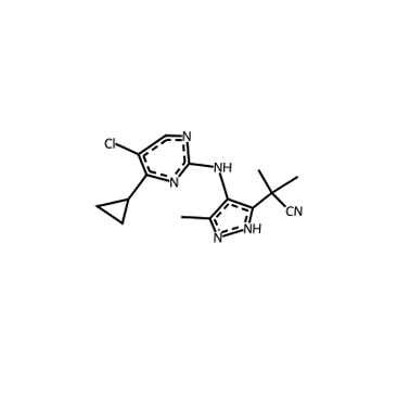 Cc1n[nH]c(C(C)(C)C#N)c1Nc1ncc(Cl)c(C2CC2)n1